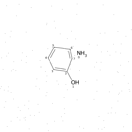 N.Oc1cc[c]cc1